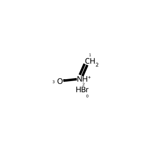 Br.C=[NH+][O-]